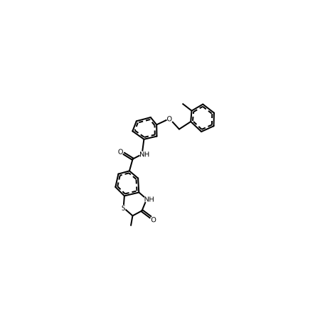 Cc1ccccc1COc1cccc(NC(=O)c2ccc3c(c2)NC(=O)C(C)S3)c1